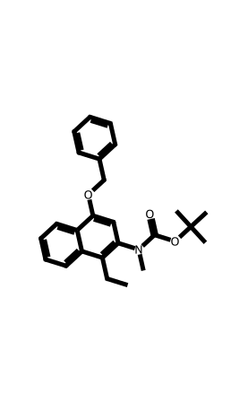 CCc1c(N(C)C(=O)OC(C)(C)C)cc(OCc2ccccc2)c2ccccc12